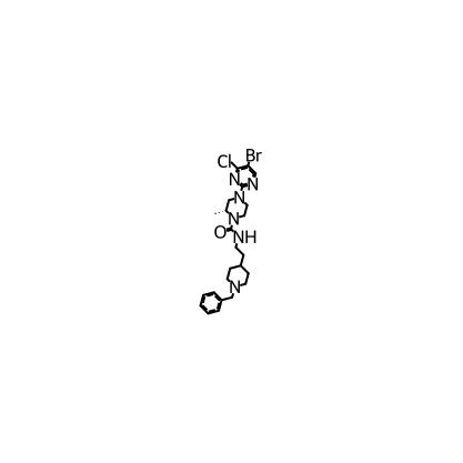 C[C@@H]1CN(c2ncc(Br)c(Cl)n2)CCN1C(=O)NCCC1CCN(Cc2ccccc2)CC1